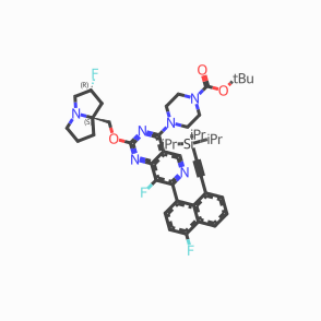 CC(C)[Si](C#Cc1cccc2c(F)ccc(-c3ncc4c(N5CCN(C(=O)OC(C)(C)C)CC5)nc(OC[C@@]56CCCN5C[C@H](F)C6)nc4c3F)c12)(C(C)C)C(C)C